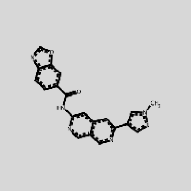 Cn1cc(-c2cc3cc(NC(=O)c4ccc5ncoc5c4)ncc3cn2)cn1